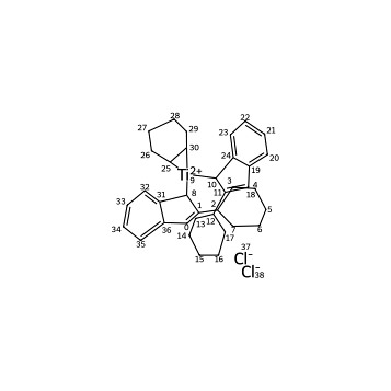 C1=C(C2CCCCC2)[CH]([Ti+2]2([CH]3C(C4CCCCC4)=Cc4ccccc43)[CH]3CCCC[CH]32)c2ccccc21.[Cl-].[Cl-]